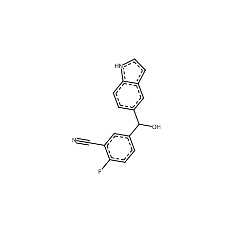 N#Cc1cc(C(O)c2ccc3[nH]ccc3c2)ccc1F